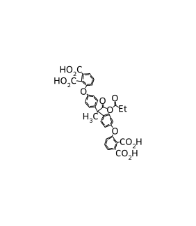 CCC(=O)OC(=O)C(C)(c1ccc(Oc2cccc(C(=O)O)c2C(=O)O)cc1)c1ccc(Oc2cccc(C(=O)O)c2C(=O)O)cc1